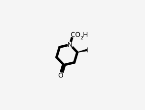 O=C1CCN(C(=O)O)[C@@H](I)C1